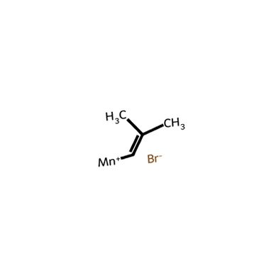 CC(C)=[CH][Mn+].[Br-]